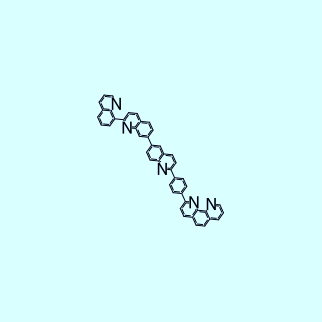 c1cnc2c(-c3ccc4ccc(-c5ccc6nc(-c7ccc(-c8ccc9ccc%10cccnc%10c9n8)cc7)ccc6c5)cc4n3)cccc2c1